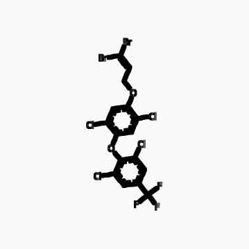 FC(F)(F)c1cc(Cl)c(Oc2cc(Cl)c(OCC=C(Br)Br)cc2Cl)c(Cl)c1